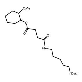 CCCCCCCCCCCCCCCNC(=O)CCC(=O)OC1CCCCC1OC